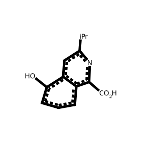 CC(C)c1cc2c(O)cccc2c(C(=O)O)n1